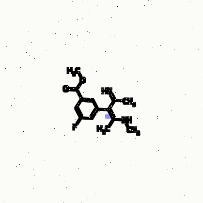 CN/C(C)=C(\C(C)=N)c1cc(F)cc(C(=O)OC)c1